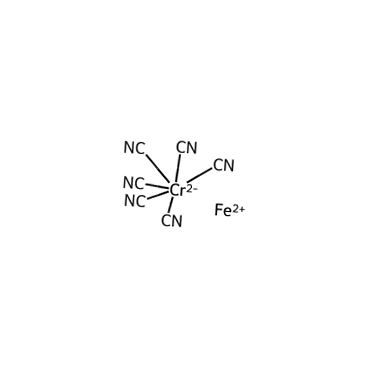 N#[C][Cr-2]([C]#N)([C]#N)([C]#N)([C]#N)[C]#N.[Fe+2]